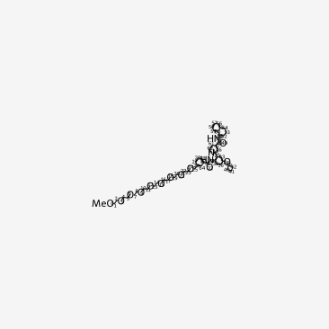 COCCOCCOCCOCCOCCOCCOCCOCCOCc1cccc(C(=O)Nc2ccc(OC3CCC3)cc2-c2cc(C(=O)N[C@H]3CCCc4ccccc43)ccn2)c1